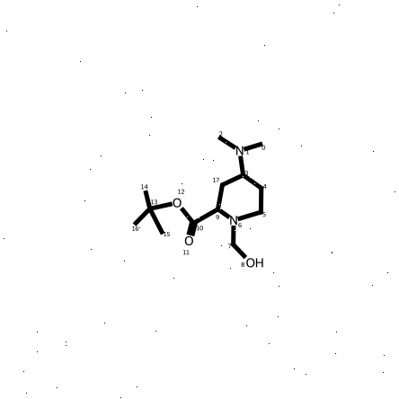 CN(C)C1CCN(CO)C(C(=O)OC(C)(C)C)C1